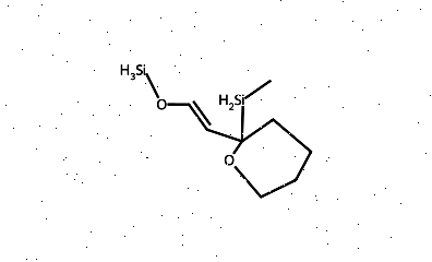 C[SiH2]C1(C=CO[SiH3])CCCCO1